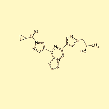 CC[C@H](C1CC1)n1cc(-c2nc(-c3cnn(CC(C)O)c3)cn3nccc23)cn1